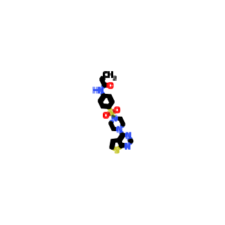 C=CC(=O)Nc1ccc(S(=O)(=O)N2CCN(c3ncnc4sccc34)CC2)cc1